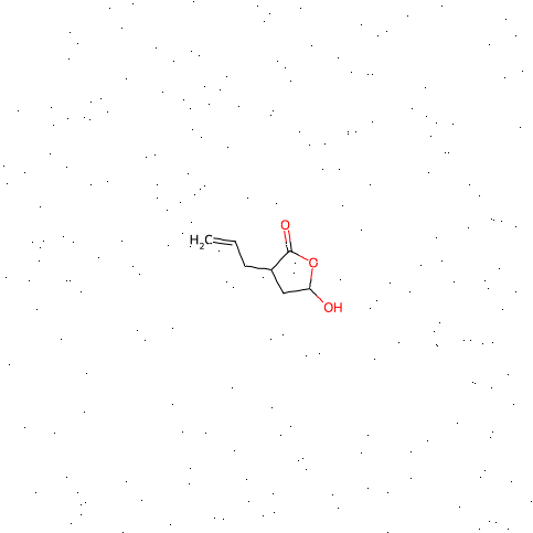 C=CCC1CC(O)OC1=O